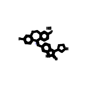 Cl.O=c1[nH]c2cc(/C=C3\c4ccc(F)cc4COc4cc(F)ccc43)ccc2n1C1CCNC1